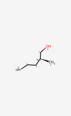 CCCCC[C@H](C)CO